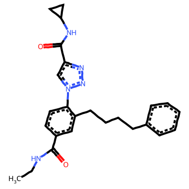 CCNC(=O)c1ccc(-n2cc(C(=O)NC3CC3)nn2)c(CCCCc2ccccc2)c1